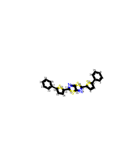 c1ccc(-c2ccc(-c3nc4sc(-c5ccc(-c6ccccc6)s5)nc4s3)s2)cc1